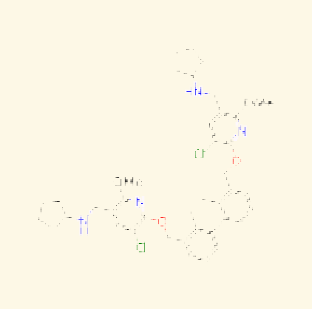 COc1nc(OCc2cccc(-c3cccc(COc4nc(OC)c(CNC5CCCC5)cc4Cl)c3C)c2C)c(Cl)cc1CNC1CCCC1